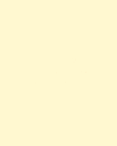 CC(C)CCOC(=O)C(C(=O)O)C(=O)O